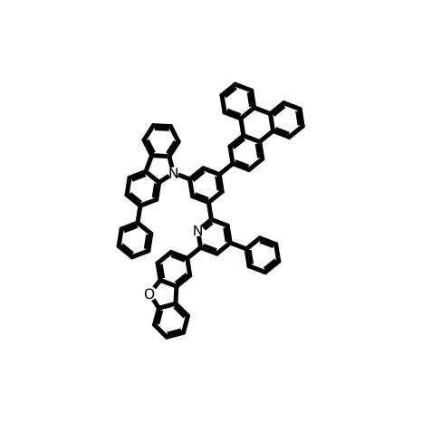 c1ccc(-c2cc(-c3cc(-c4ccc5c6ccccc6c6ccccc6c5c4)cc(-n4c5ccccc5c5ccc(-c6ccccc6)cc54)c3)nc(-c3ccc4oc5ccccc5c4c3)c2)cc1